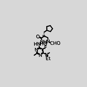 CCN(C)c1nc(C)nc(NNC(=O)[C@H](CC2CCCC2)CN(O)C=O)c1F